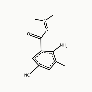 Cc1cc(C#N)cc(C(=O)N=S(C)C)c1N